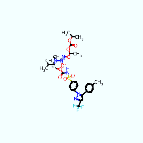 Cc1ccc(-c2cc(C(F)(F)F)nn2-c2ccc(S(=O)(=O)NC(=O)OC[C@H](C(C)C)N(C)/[N+]([O-])=N/OC(C)OC(=O)OC(C)C)cc2)cc1